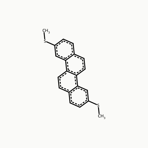 CSc1ccc2ccc3c4cc(SC)ccc4ccc3c2c1